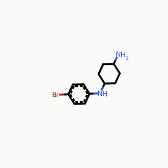 NC1CCC(Nc2ccc(Br)cc2)CC1